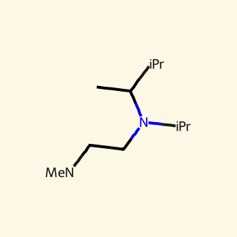 CNCCN(C(C)C)C(C)C(C)C